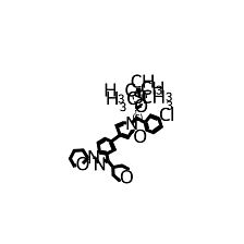 CC(C)(C)[Si](C)(C)OC[C@H](c1cccc(Cl)c1)n1ccc(-c2ccc3c(c2)c(C2CCOCC2)nn3C2CCCCO2)cc1=O